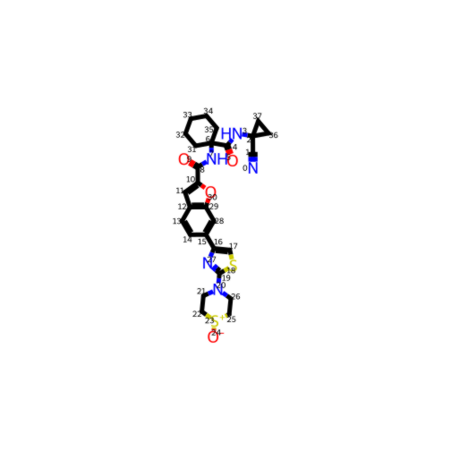 N#CC1(NC(=O)C2(NC(=O)c3cc4ccc(-c5csc(N6CC[S+]([O-])CC6)n5)cc4o3)CCCCC2)CC1